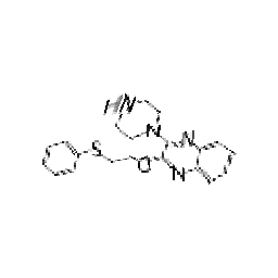 c1ccc(SCCOc2nc3ccccc3nc2N2CCNCC2)cc1